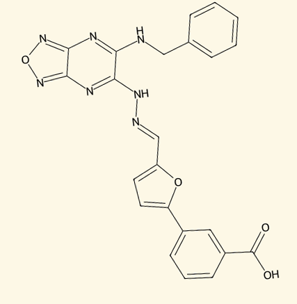 O=C(O)c1cccc(-c2ccc(/C=N/Nc3nc4nonc4nc3NCc3ccccc3)o2)c1